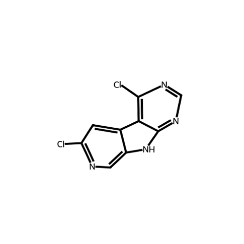 Clc1cc2c(cn1)[nH]c1ncnc(Cl)c12